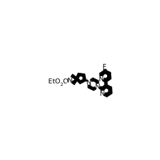 CCOC(=O)N1CC2(CC[C@@H](N3CCN(c4ncccc4-c4ccc(F)cn4)CC3)C2)C1